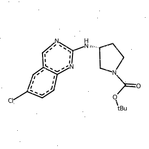 CC(C)(C)OC(=O)N1CC[C@@H](Nc2ncc3cc(Cl)ccc3n2)C1